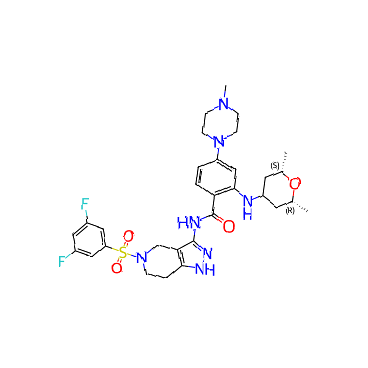 C[C@@H]1CC(Nc2cc(N3CCN(C)CC3)ccc2C(=O)Nc2n[nH]c3c2CN(S(=O)(=O)c2cc(F)cc(F)c2)CC3)C[C@H](C)O1